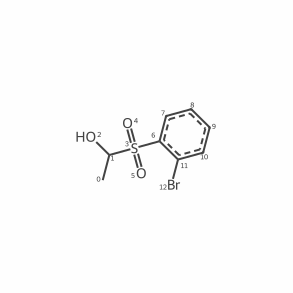 CC(O)S(=O)(=O)c1ccccc1Br